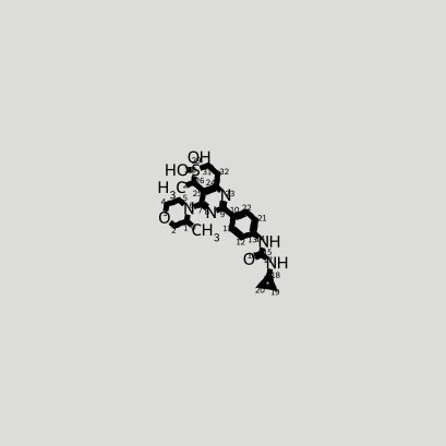 CC1COCCN1c1nc(-c2ccc(NC(=O)NC3CC3)cc2)nc2c1C(C)S(O)(O)CC2